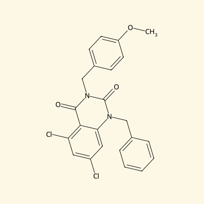 COc1ccc(Cn2c(=O)c3c(Cl)cc(Cl)cc3n(Cc3ccccc3)c2=O)cc1